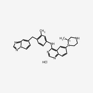 Cc1cc(Nc2ncnc3ccc(N4CCNC[C@@H]4C)cc23)ccc1Cc1ccn2ncnc2c1.Cl